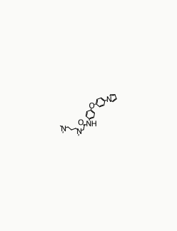 CN(C)CCCN(C)CC(=O)Nc1ccc(Oc2ccc(-n3cccc3)cc2)cc1